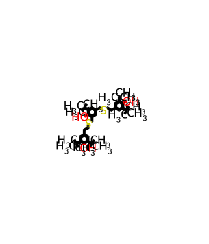 CC(C)(C)c1cc(CSCCc2cc(C(C)(C)C)c(O)c(C(C)(C)C)c2)cc(CSCCc2cc(C(C)(C)C)c(O)c(C(C)(C)C)c2)c1O